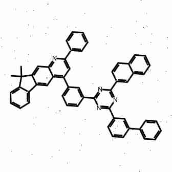 CC1(C)c2ccccc2-c2cc3c(-c4cccc(-c5nc(-c6cccc(-c7ccccc7)c6)nc(-c6ccc7ccccc7c6)n5)c4)cc(-c4ccccc4)nc3cc21